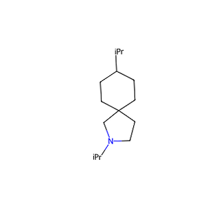 CC(C)C1CCC2(CC1)CCN(C(C)C)C2